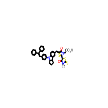 CCN1C(=O)/C(=c2\sc(=Cc3ccc4c(c3)C3CCCC3N4c3ccc(C=C(c4ccccc4)c4ccccc4)cc3)c(=O)n2CC(=O)O)SC1=S